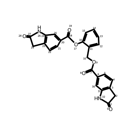 O=C1Cc2ccc(C(=O)OCc3ccccc3OC(=O)c3ccc4c(c3)NC(=O)C4)cc2N1